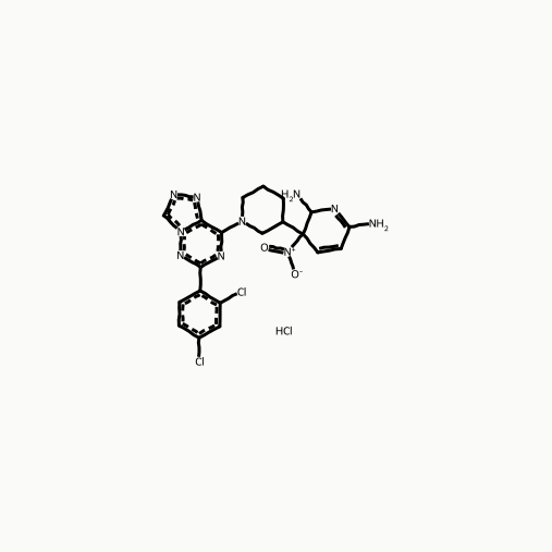 Cl.NC1=NC(N)C(C2CCCN(c3nc(-c4ccc(Cl)cc4Cl)nn4cnnc34)C2)([N+](=O)[O-])C=C1